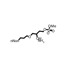 CCCCCCCCCCCCOCC(O)CCOS(=O)(=O)OC.N